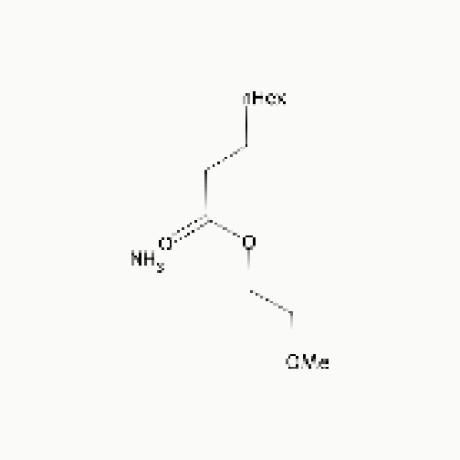 CCCCCCCCC(=O)OCCOC.N